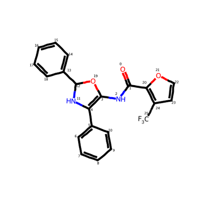 O=C(NC1=C(c2ccccc2)NC(c2ccccc2)O1)c1occc1C(F)(F)F